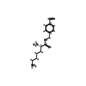 COc1ccc(COC(=O)[C@@H](N)CCCCN)cc1